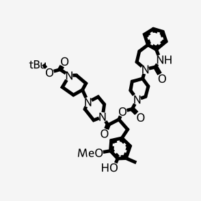 COc1cc(CC(OC(=O)N2CCC(N3CCc4ccccc4NC3=O)CC2)C(=O)N2CCN(C3CCN(C(=O)OC(C)(C)C)CC3)CC2)cc(C)c1O